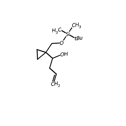 C=CCC(O)C1(CO[Si](C)(C)C(C)(C)C)CC1